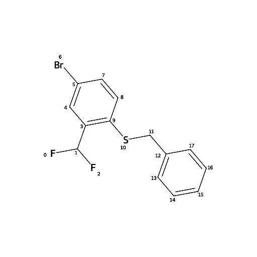 FC(F)c1cc(Br)ccc1SCc1ccccc1